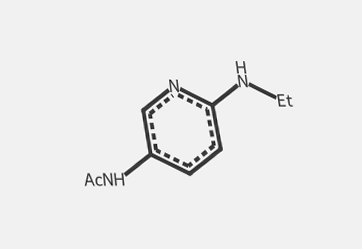 CCNc1ccc(NC(C)=O)cn1